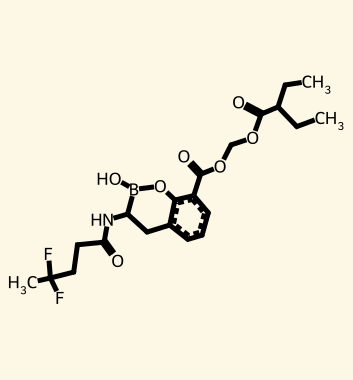 CCC(CC)C(=O)OCOC(=O)c1cccc2c1OB(O)C(NC(=O)CCC(C)(F)F)C2